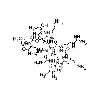 CC[C@H](C)[C@H](NC(=O)[C@H](CCCNC(=N)N)NC(=O)[C@H](CCCCN)NC(=O)[C@H](CS)NC(=O)[C@H](CC(C)C)NC(=O)CN)C(=O)N[C@@H](CCCCN)C(=O)N[C@H](C(=O)N[C@@H](CC(C)C)C(=O)N[C@@H](CS)C(N)=O)[C@@H](C)O